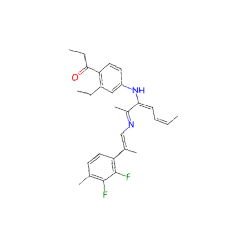 C\C=C/C=C(Nc1ccc(C(=O)CC)c(CC)c1)\C(C)=N\C=C(/C)c1ccc(C)c(F)c1F